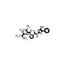 CC(C)[C@H](NC(=O)[C@H](C)N)C(=O)N1CCC[C@H]1C(=O)Nc1nc(N)c(-c2ccccc2)s1